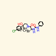 CC(C)[C@@H](NC(=O)Nc1ccccc1)C(=O)N1CCC(O)(c2ccc(Cl)cc2)C(C)(C)C1